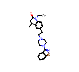 CC(C)CN1C(=O)CC(C)c2cc(CCN3CCN(c4nsc5ccccc45)CC3)ccc21